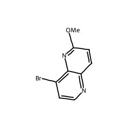 COc1ccc2nccc(Br)c2n1